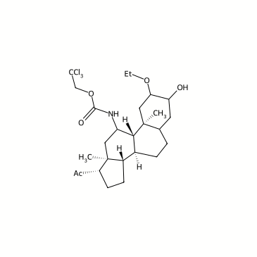 CCOC1C[C@@]2(C)C(CC[C@H]3[C@@H]4CC[C@H](C(C)=O)[C@@]4(C)CC(NC(=O)OCC(Cl)(Cl)Cl)[C@@H]32)CC1O